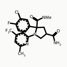 CNC(=O)C1(c2ccc(F)c(Cl)c2)CC(C(N)=O)CN1c1cc(C(F)(F)F)cc(C)n1